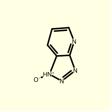 [O-][NH+]1N=Nc2ncccc21